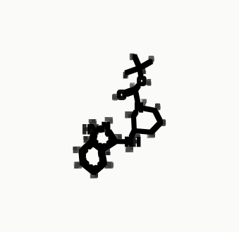 CC(C)(C)OC(=O)N1CCCC(Nc2n[nH]c3ccccc23)C1